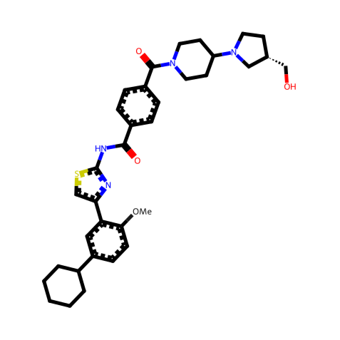 COc1ccc(C2CCCCC2)cc1-c1csc(NC(=O)c2ccc(C(=O)N3CCC(N4CC[C@H](CO)C4)CC3)cc2)n1